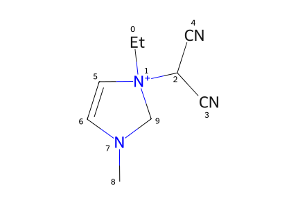 CC[N+]1(C(C#N)C#N)C=CN(C)C1